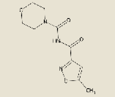 Cc1cc(C(=O)NC(=O)N2CCOCC2)no1